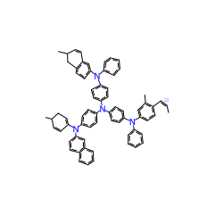 C/C=C\c1ccc(N(c2ccccc2)c2ccc(N(c3ccc(N(C4=CCC(C)C=C4)c4ccc5ccccc5c4)cc3)c3ccc(N(c4ccccc4)c4ccc5c(c4)C=CC(C)C5)cc3)cc2)cc1C